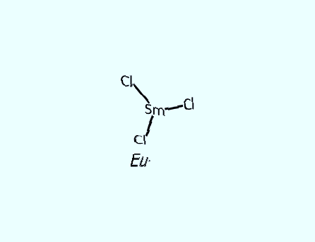 [Cl][Sm]([Cl])[Cl].[Eu]